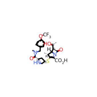 C[C@@H](O)[C@H]1C(=O)N2C(C(=O)O)=C(S[C@@H]3CN[C@H](C(=O)N(C)Cc4ccc(OC(F)(F)F)cc4)C3)[C@H](C)[C@H]12